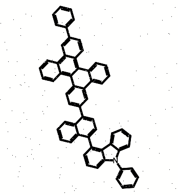 c1ccc(-c2ccc3c(c2)c2ccccc2c2c4ccc(-c5ccc(-c6cccc7c6c6ccccc6n7-c6ccccc6)c6ccccc56)cc4c4ccccc4c32)cc1